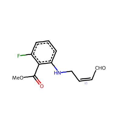 COC(=O)c1c(F)cccc1NC/C=C\C=O